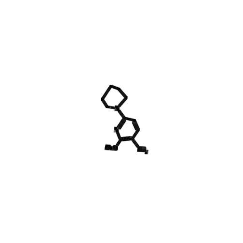 COc1nc(N2CCCCC2)ccc1[N+](=O)[O-]